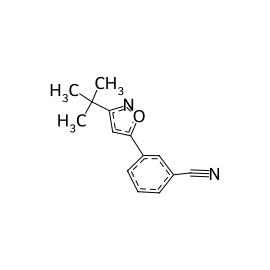 CC(C)(C)c1cc(-c2cccc(C#N)c2)on1